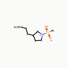 CC(=O)NCCC1CCN(S(C)(=O)=O)C1